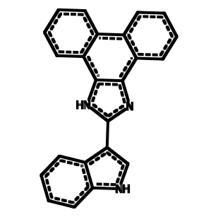 c1ccc2c(-c3nc4c5ccccc5c5ccccc5c4[nH]3)c[nH]c2c1